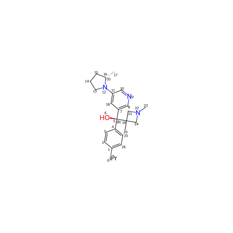 CC(C)c1ccc([C@](O)(c2cncc(N3CCC[C@@H]3C)c2)C2(C)CN(C)C2)cc1